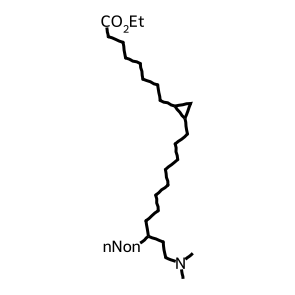 CCCCCCCCCC(CCCCCCCCC1CC1CCCCCCCC(=O)OCC)CCN(C)C